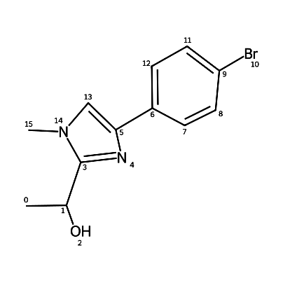 CC(O)c1nc(-c2ccc(Br)cc2)cn1C